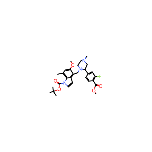 COC(=O)c1ccc(C2CN(C)CCN2Cc2c(OC)cc(C)c3c2ccn3C(=O)OC(C)(C)C)cc1F